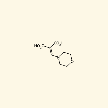 O=C(O)C(=CN1CCOCC1)C(=O)O